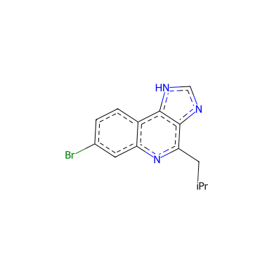 CC(C)Cc1nc2cc(Br)ccc2c2[nH]cnc12